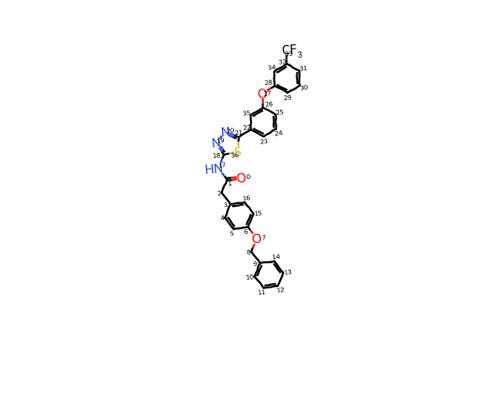 O=C(Cc1ccc(OCc2ccccc2)cc1)Nc1nnc(-c2cccc(Oc3cccc(C(F)(F)F)c3)c2)s1